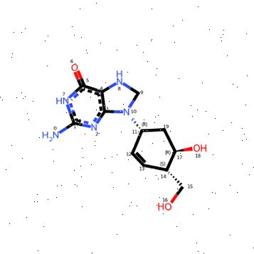 Nc1nc2c(c(=O)[nH]1)NCN2[C@H]1C=C[C@@H](CO)[C@H](O)C1